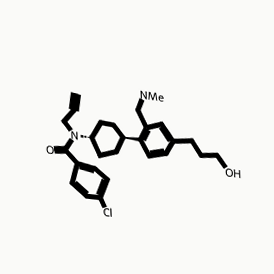 C#CCN(C(=O)c1ccc(Cl)cc1)[C@H]1CC[C@H](c2ccc(CCCO)cc2CNC)CC1